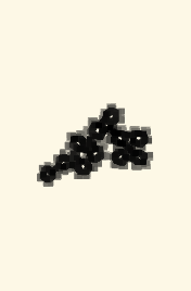 c1ccc(-c2ccc3c(c2)c2ccccc2n3-c2cccc3c2c2ccccc2n3-c2ccc3c4ccccc4n(-c4ccc([Si](c5ccccc5)(c5ccccc5)c5ccccc5)cc4)c3c2)cc1